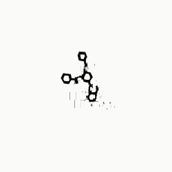 CO[C@@H]1O[C@@H]2COC(c3ccc(OC(=O)c4ccccc4)c(OC(=O)c4ccccc4)c3)O[C@H]2[C@H](O)[C@H]1O